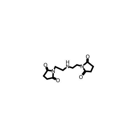 O=C1CCC(=O)N1CCNCCN1C(=O)CCC1=O